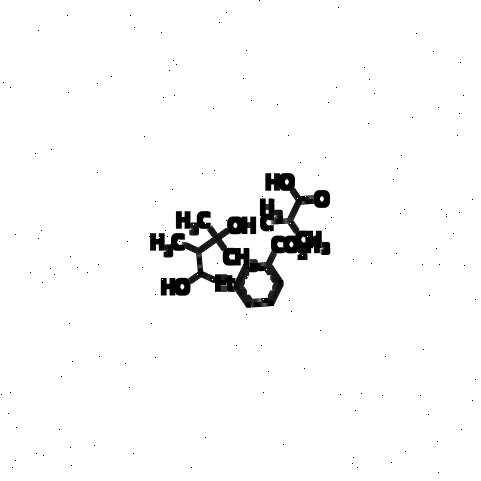 CC(C)C(=O)O.CCC(O)C(C)C(C)(C)O.O=C(O)c1ccccc1